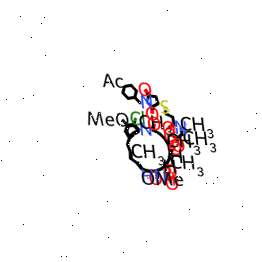 COc1cc2cc(c1Cl)N(C)C(=O)C[C@H](OC(=O)[C@H](C)N(C)C(=O)CCSC1CC(=O)N(CC3CCC(C(C)=O)CC3)C1=O)[C@@]1(C)O[C@H]1[C@H](C)[C@@H]1C[C@@](O)(NC(=O)O1)[C@H](OC)/C=C/C=C(\C)C2